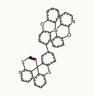 c1ccc2c(c1)Oc1ccc(-c3ccc4c(c3)C3(c5ccccc5S4)c4ccccc4Sc4ncccc43)cc1[Si]21c2ccccc2Oc2ncccc21